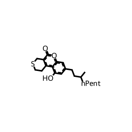 CCCCCC(C)CCc1cc(O)c2c3c(c(=O)oc2c1)CSCC3